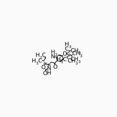 C=CC(C)[C@H]1OC(=O)N[C@@H]1CC(=O)c1ccc(O[Si](C(C)C)(C(C)C)C(C)C)cc1N